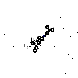 Cc1cccc(N(c2ccc3c(c2)C(C)(C)c2cc(/C=C/c4ccc(N(c5ccccc5)c5ccccc5)cc4)ccc2-3)c2ccc3ccccc3c2)c1